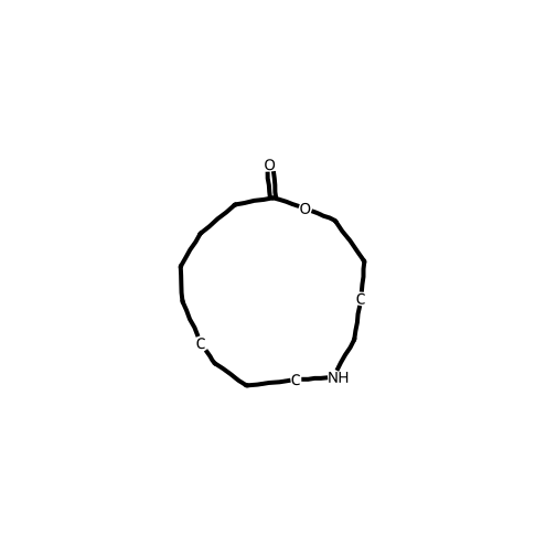 O=C1CCCCCCCCNCCCCO1